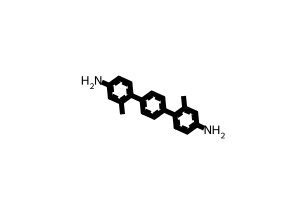 Cc1cc(N)ccc1-c1ccc(-c2ccc(N)cc2C)cc1